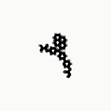 C=CC(=O)Oc1ccc(-c2ccc(N(C3=CCC4=CCc5cccc6ccc3c4c56)c3ccc(OC(=O)C(=C)C)cc3)cc2)cc1